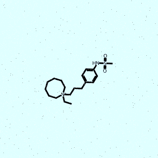 CC[N+]1(CCCc2ccc(NS(C)(=O)=O)cc2)CCCCCCC1